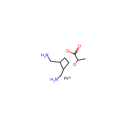 CC([O-])C(=O)[O-].NCC1CCC1CN.[Pt+2]